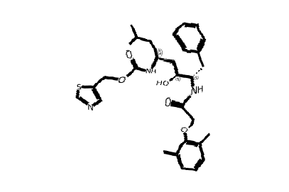 Cc1cccc(C)c1OCC(=O)N[C@@H](Cc1ccccc1)[C@@H](O)C[C@H](CC(C)C)NC(=O)OCc1cncs1